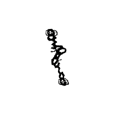 c1cc2c(cc1CCc1cc3ccc4c(c3s1)-c1ccc3cc(CCc5ccc6c(c5)OCCO6)sc3c1-4)OCCO2